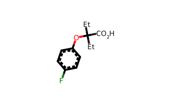 CCC(CC)(Oc1ccc(F)cc1)C(=O)O